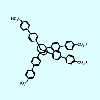 O=C(O)c1ccc(-c2ccc(C34CC5(c6ccc(-c7ccc(C(=O)O)cc7)cc6)CC(c6ccc(-c7ccc(C(=O)O)cc7)cc6)(C3)C(c3ccc(-c6ccc(C(=O)O)cc6)cc3)(C4)C5)cc2)cc1